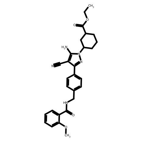 CCOC(=O)C1CCCC(n2nc(-c3ccc(CNC(=O)c4ccccc4OC)cc3)c(C#N)c2N)C1